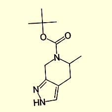 CC1Cc2c[nH]nc2CN1C(=O)OC(C)(C)C